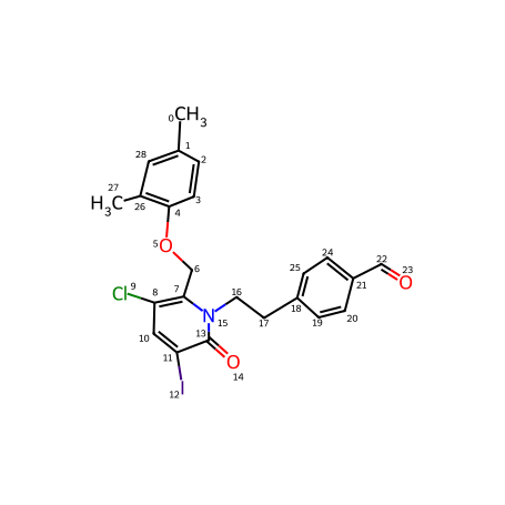 Cc1ccc(OCc2c(Cl)cc(I)c(=O)n2CCc2ccc(C=O)cc2)c(C)c1